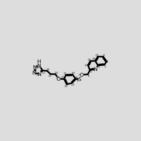 c1ccc2nc(COSc3ccc(OCCCc4nnn[nH]4)cc3)ccc2c1